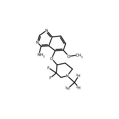 [2H]C([2H])([2H])N1CCC(Oc2c(OC)ccc3ncnc(N)c23)C(F)(F)C1